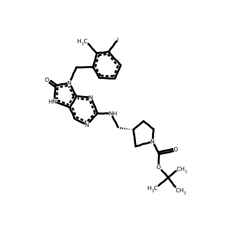 Cc1c(I)cccc1Cn1c(=O)[nH]c2cnc(NC[C@@H]3CCN(C(=O)OC(C)(C)C)C3)nc21